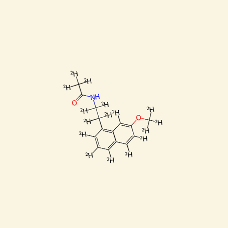 [2H]c1c([2H])c(C([2H])([2H])C([2H])([2H])NC(=O)C([2H])([2H])[2H])c2c([2H])c(OC([2H])([2H])[2H])c([2H])c([2H])c2c1[2H]